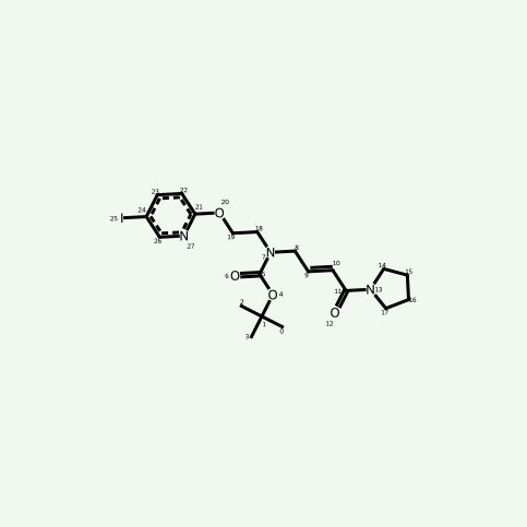 CC(C)(C)OC(=O)N(CC=CC(=O)N1CCCC1)CCOc1ccc(I)cn1